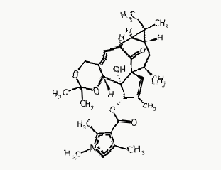 CC1=C[C@]23C(=O)[C@@H](C=C4COC(C)(C)O[C@H]4[C@]2(O)[C@H]1OC(=O)c1c(C)cn(C)c1C)[C@H]1[C@@H](C[C@H]3C)C1(C)C